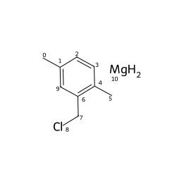 Cc1ccc(C)c(CCl)c1.[MgH2]